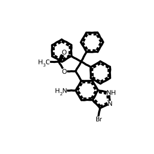 CC(=O)OC(c1cc2[nH]nc(Br)c2cc1N)C(c1ccccc1)(c1ccccc1)c1ccccc1